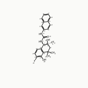 CC1(C)C[C@@](O)(C(F)(F)F)[C@H](NC(=O)Nc2ccc3ccccc3c2)c2ccc(F)c(O)c21